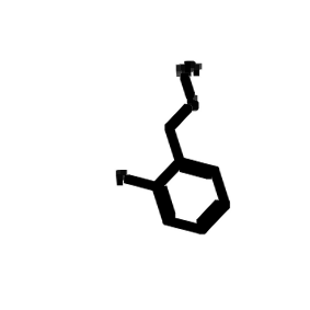 CCCSCc1ccccc1F